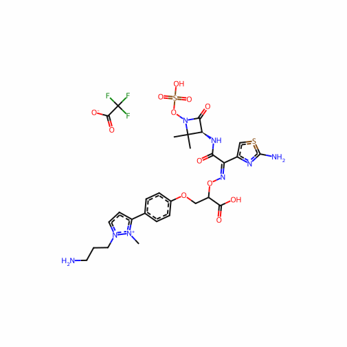 C[n+]1c(-c2ccc(OCC(O/N=C(\C(=O)N[C@@H]3C(=O)N(OS(=O)(=O)O)C3(C)C)c3csc(N)n3)C(=O)O)cc2)ccn1CCCN.O=C([O-])C(F)(F)F